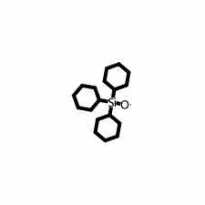 [O][Si](C1CCCCC1)(C1CCCCC1)C1CCCCC1